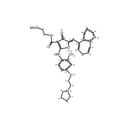 COCCOC(=O)C1=C(Nc2ccc(OCCN3CCCC3)cc2C)O/C(=C\C2=CCC=Cc3ncccc32)C1=O